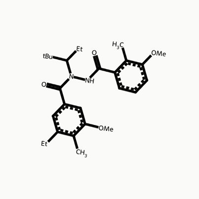 CCc1cc(C(=O)N(NC(=O)c2cccc(OC)c2C)C(CC)C(C)(C)C)cc(OC)c1C